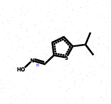 CC(C)c1ccc(/C=N/O)s1